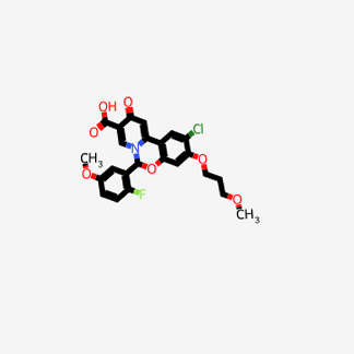 COCCCOc1cc2c(cc1Cl)-c1cc(=O)c(C(=O)O)cn1C(c1cc(OC)ccc1F)O2